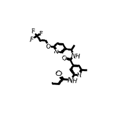 CCC(=O)Nc1cc(C(=O)NC(C)c2ccc(OCCC(F)(F)F)nc2)cc(C)n1